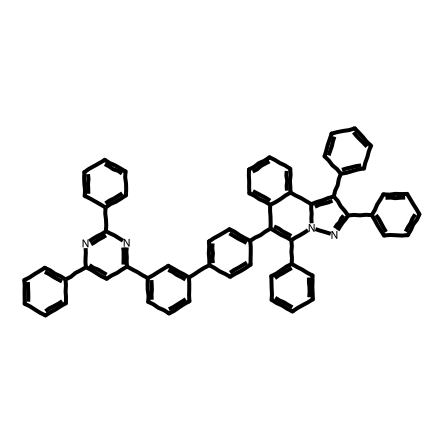 c1ccc(-c2cc(-c3cccc(-c4ccc(-c5c(-c6ccccc6)n6nc(-c7ccccc7)c(-c7ccccc7)c6c6ccccc56)cc4)c3)nc(-c3ccccc3)n2)cc1